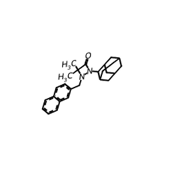 CC1(C)C(=O)N(C2C3CC4CC(C3)CC2C4)N1Cc1ccc2ccccc2c1